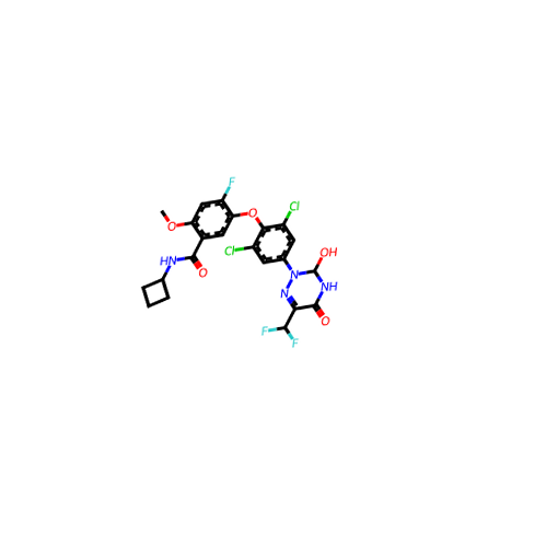 COc1cc(F)c(Oc2c(Cl)cc(N3N=C(C(F)F)C(=O)NC3O)cc2Cl)cc1C(=O)NC1CCC1